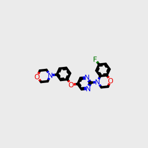 Fc1ccc2c(c1)N(c1ncc(Oc3cccc(N4CCOCC4)c3)cn1)CCO2